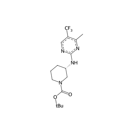 Cc1nc(N[C@H]2CCCN(C(=O)OC(C)(C)C)C2)ncc1C(F)(F)F